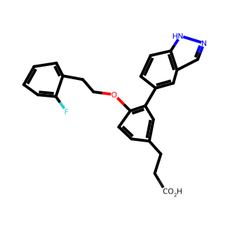 O=C(O)CCc1ccc(OCCc2ccccc2F)c(-c2ccc3[nH]ncc3c2)c1